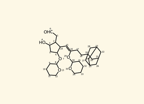 O=CCC1C(O)CC(OC2CCCCO2)C1C=C(CCC12CC3CC(CC(C3)C1)C2)OC1CCCCO1